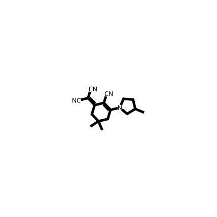 CC1CCN(C2=C(C#N)C(=C(C#N)C#N)CC(C)(C)C2)C1